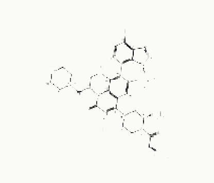 C=CC(=O)N1C[C@H](C)N(c2nc(=O)n3c4c(c(-c5ccc(F)c6cnn(C)c56)c(C)cc24)SCC3CN2CCOCC2)C[C@H]1C